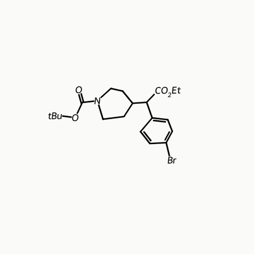 CCOC(=O)C(c1ccc(Br)cc1)C1CCN(C(=O)OC(C)(C)C)CC1